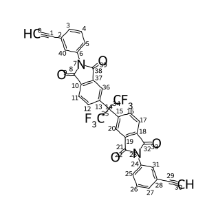 C#Cc1cccc(N2C(=O)c3ccc(C(c4ccc5c(c4)C(=O)N(c4cccc(C#C)c4)C5=O)(C(F)(F)F)C(F)(F)F)cc3C2=O)c1